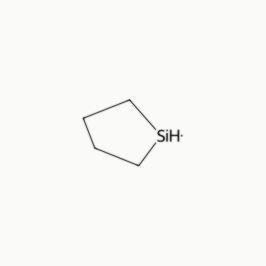 C1CC[SiH]C1